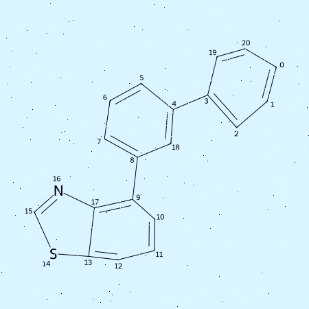 c1ccc(-c2cccc(-c3cccc4scnc34)c2)cc1